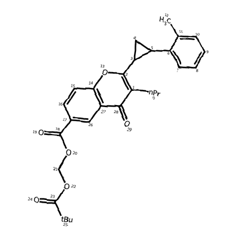 CCCc1c(C2CC2c2ccccc2C)oc2ccc(C(=O)OCOC(=O)C(C)(C)C)cc2c1=O